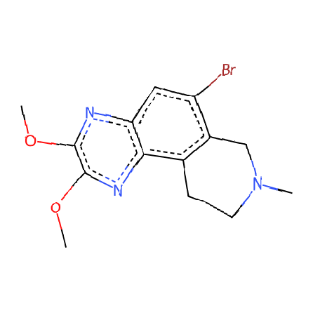 COc1nc2cc(Br)c3c(c2nc1OC)CCN(C)C3